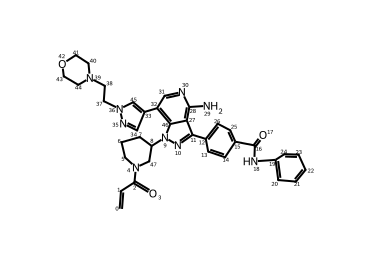 C=CC(=O)N1CCCC(n2nc(-c3ccc(C(=O)Nc4ccccc4)cc3)c3c(N)ncc(-c4cnn(CCN5CCOCC5)c4)c32)C1